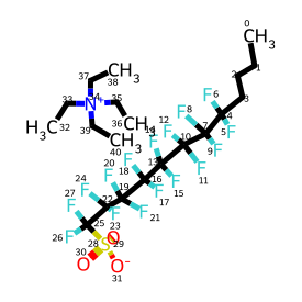 CCCCC(F)(F)C(F)(F)C(F)(F)C(F)(F)C(F)(F)C(F)(F)C(F)(F)C(F)(F)S(=O)(=O)[O-].CC[N+](CC)(CC)CC